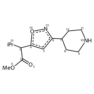 COC(=O)C(c1cc(C2CCNCC2)no1)C(C)C